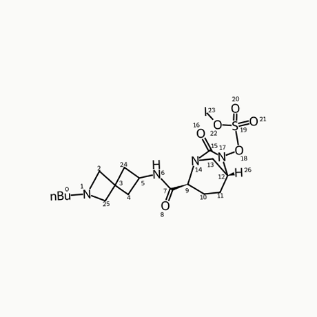 CCCCN1CC2(CC(NC(=O)[C@@H]3CC[C@@H]4CN3C(=O)N4OS(=O)(=O)OI)C2)C1